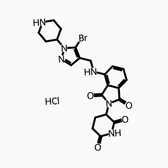 Cl.O=C1CCC(N2C(=O)c3cccc(NCc4cnn(C5CCNCC5)c4Br)c3C2=O)C(=O)N1